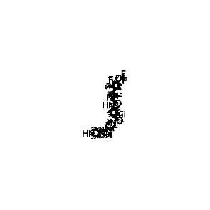 Cn1c(-c2ccc(OC(F)F)c(F)c2F)cnc1C(=O)Nc1ccc(C(=O)N2CCN(C(=O)CC3(O)CCNCC3)CC2)c(Cl)c1